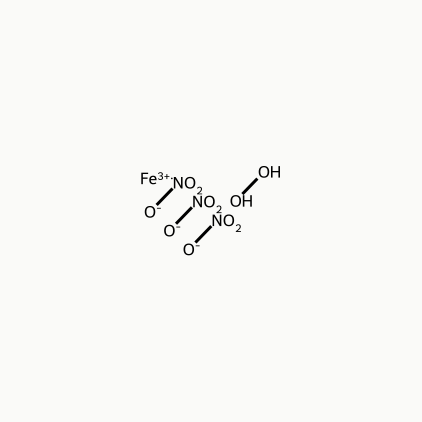 O=[N+]([O-])[O-].O=[N+]([O-])[O-].O=[N+]([O-])[O-].OO.[Fe+3]